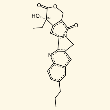 CCCc1ccc2nc3c(cc2c1)Cn1c-3cc2c(c1=O)COC(=O)[C@]2(O)CC